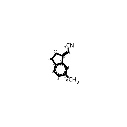 Cc1ccc2c(c1)C(=CC#N)CC2